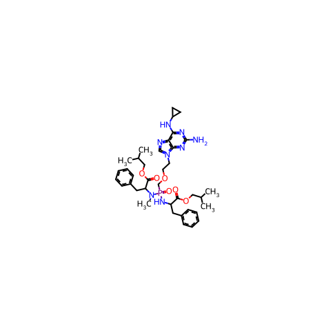 CC(C)COC(=O)C(Cc1ccccc1)NP(=O)(COCCn1cnc2c(NC3CC3)nc(N)nc21)N(C)C(Cc1ccccc1)C(=O)OCC(C)C